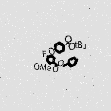 COc1cc(F)c(O[C@H]2CC[C@@H](C(=O)OC(C)(C)C)CC2)cc1C(=O)OCc1ccccc1